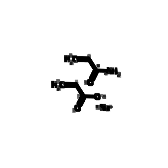 C=CC(=O)[O-].C=CC(N)=O.[Na+]